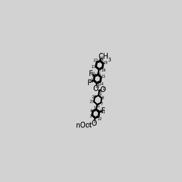 CCCCCCCCOc1ccc(C2CCC(C(=O)Oc3ccc(-c4ccc(C)cc4)c(F)c3F)CC2)c(F)c1